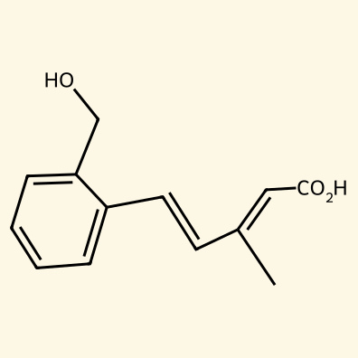 CC(C=Cc1ccccc1CO)=CC(=O)O